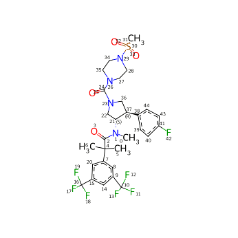 CN(C(=O)C(C)(C)c1cc(C(F)(F)F)cc(C(F)(F)F)c1)[C@@H]1CN(C(=O)N2CCN(S(C)(=O)=O)CC2)C[C@H]1c1ccc(F)cc1